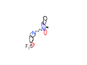 C=C(C(=O)NCCCCN1CCc2ccc(OC(F)(F)F)cc2C1)c1ccc2ccccc2c1